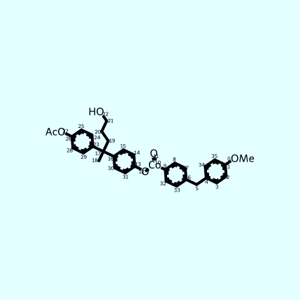 COc1ccc(Cc2cc[c]([Co](=[O])[O]c3ccc(C(C)(CCCO)c4ccc(OC(C)=O)cc4)cc3)cc2)cc1